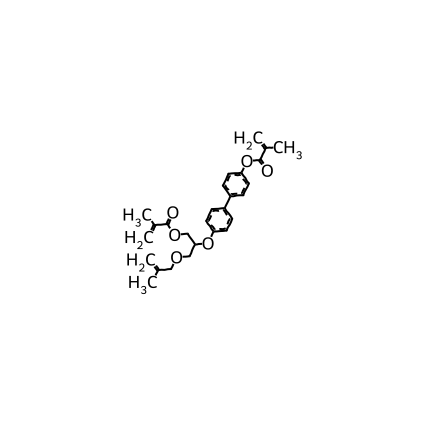 C=C(C)COCC(COC(=O)C(=C)C)Oc1ccc(-c2ccc(OC(=O)C(=C)C)cc2)cc1